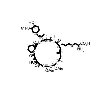 CO[C@@H]1C[C@@H](OC)C[C@@H](C)C/C(C)=C/[C@@H](CCCSC[C@H](N)C(=O)O)C(=O)C[C@H](O)[C@@H](C)[C@@H](/C(C)=C/[C@@H]2CC[C@@H](O)[C@H](OC)C2)OC(=O)[C@@H]2CCCCN2C(=O)C(=O)C(O)(O)[C@H](C)C1